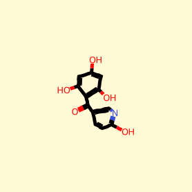 O=C(c1ccc(O)nc1)c1c(O)cc(O)cc1O